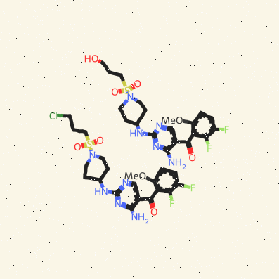 COc1ccc(F)c(F)c1C(=O)c1cnc(NC2CCN(S(=O)(=O)CCCCl)CC2)nc1N.COc1ccc(F)c(F)c1C(=O)c1cnc(NC2CCN(S(=O)(=O)CCCO)CC2)nc1N